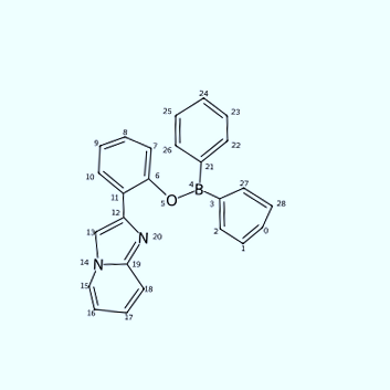 c1ccc(B(Oc2ccccc2-c2cn3ccccc3n2)c2ccccc2)cc1